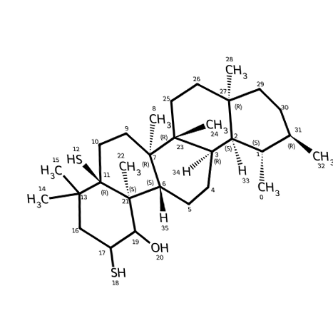 C[C@@H]1[C@H]2[C@H]3CC[C@H]4[C@@](C)(CC[C@@]5(S)C(C)(C)CC(S)C(O)[C@]45C)[C@]3(C)CC[C@@]2(C)CC[C@H]1C